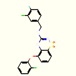 O=S1(=O)N=C(NCc2ccc(F)c(Cl)c2)Nc2c(Oc3ccccc3Cl)cccc21